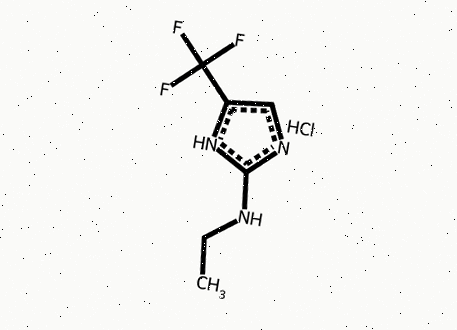 CCNc1ncc(C(F)(F)F)[nH]1.Cl